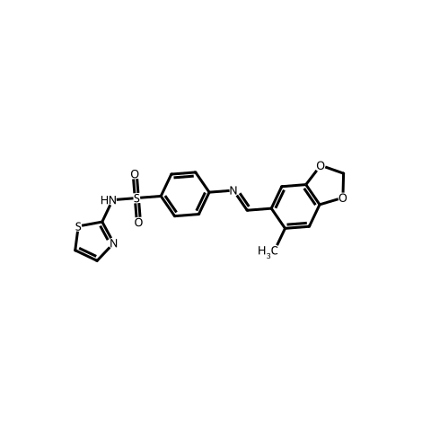 Cc1cc2c(cc1/C=N/c1ccc(S(=O)(=O)Nc3nccs3)cc1)OCO2